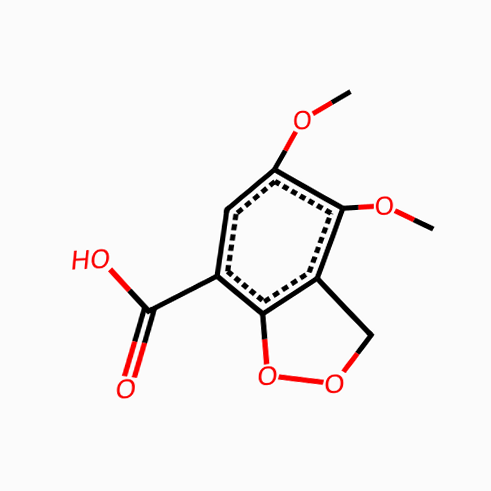 COc1cc(C(=O)O)c2c(c1OC)COO2